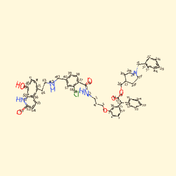 O=C(NCCCOc1cccc(C(C(=O)OCC2CCN(Cc3ccccc3)CC2)c2ccccc2)c1)c1ccc(CNCCc2ccc(O)c3[nH]c(=O)ccc23)cc1Cl